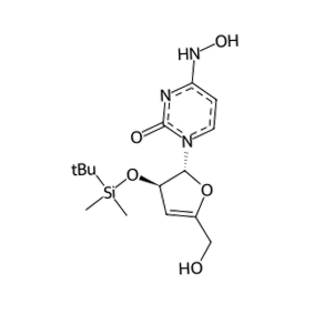 CC(C)(C)[Si](C)(C)O[C@@H]1C=C(CO)O[C@H]1n1ccc(NO)nc1=O